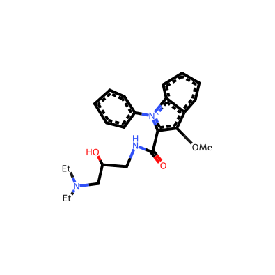 CCN(CC)CC(O)CNC(=O)c1c(OC)c2ccccc2n1-c1ccccc1